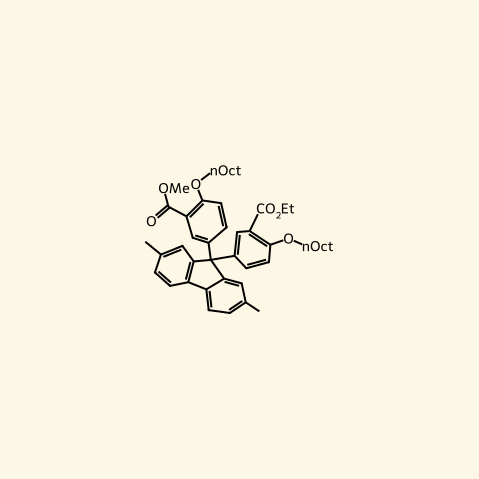 CCCCCCCCOc1ccc(C2(c3ccc(OCCCCCCCC)c(C(=O)OCC)c3)c3cc(C)ccc3-c3ccc(C)cc32)cc1C(=O)OC